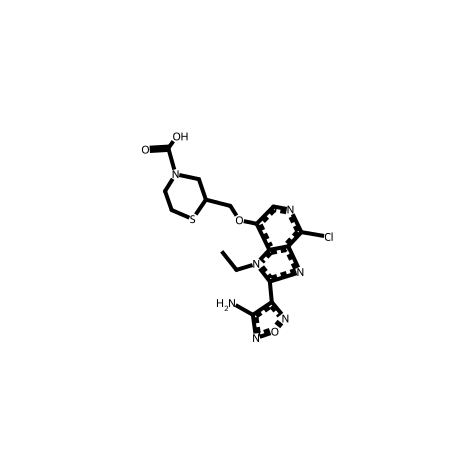 CCn1c(-c2nonc2N)nc2c(Cl)ncc(OCC3CN(C(=O)O)CCS3)c21